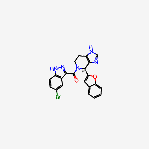 O=C(c1n[nH]c2ccc(Br)cc12)N1CCc2[nH]cnc2[C@H]1c1cc2ccccc2o1